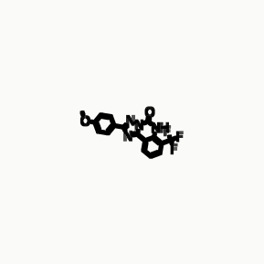 COc1ccc(-c2nc3c4cccc(C(F)(F)F)c4[nH]c(=O)n3n2)cc1